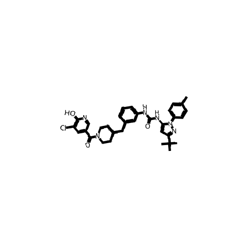 Cc1ccc(-n2nc(C(C)(C)C)cc2NC(=O)Nc2cccc(CC3CCN(C(=O)c4cnc(O)c(Cl)c4)CC3)c2)cc1